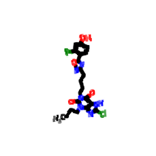 CCCCn1c(=O)n(CCCCc2noc(-c3ccc(O)cc3F)n2)c(=O)c2[nH]c(Cl)nc21